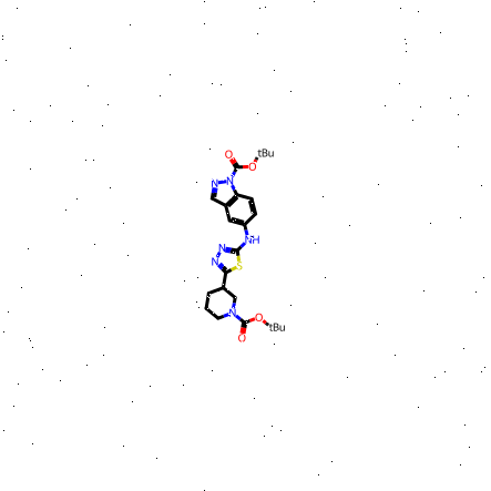 CC(C)(C)OC(=O)N1CCCC(c2nnc(Nc3ccc4c(cnn4C(=O)OC(C)(C)C)c3)s2)C1